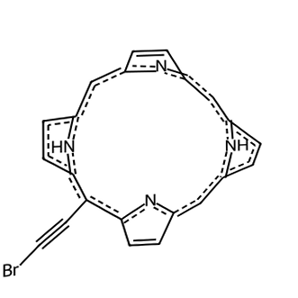 BrC#Cc1c2nc(cc3ccc(cc4nc(cc5ccc1[nH]5)C=C4)[nH]3)C=C2